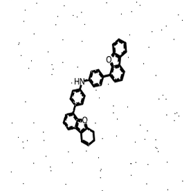 C1=Cc2c(oc3c(-c4ccc(Nc5ccc(-c6cccc7c6oc6ccccc67)cc5)cc4)cccc23)CC1